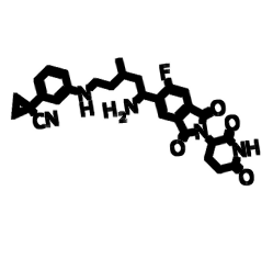 CC(CCNc1cccc(C2(C#N)CC2)c1)CC(N)c1cc2c(cc1F)C(=O)N(C1CCC(=O)NC1=O)C2=O